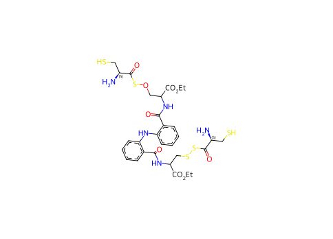 CCOC(=O)C(COSC(=O)[C@@H](N)CS)NC(=O)c1ccccc1Nc1ccccc1C(=O)NC(CSSC(=O)[C@@H](N)CS)C(=O)OCC